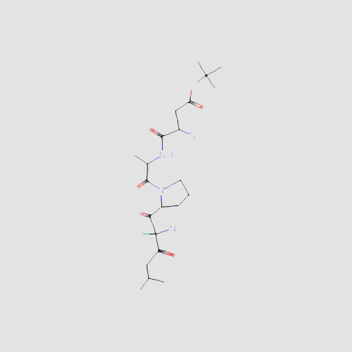 CC(C)CC(=O)C(N)(F)C(=O)C1CCCN1C(=O)C(C)NC(=O)C(N)CC(=O)OC(C)(C)C